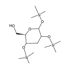 C[Si](C)(C)OC1CC(O[Si](C)(C)C)[C@@H](CO)OC1O[Si](C)(C)C